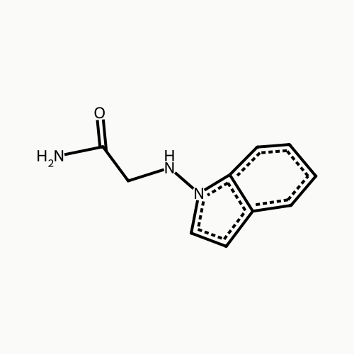 NC(=O)CNn1ccc2ccccc21